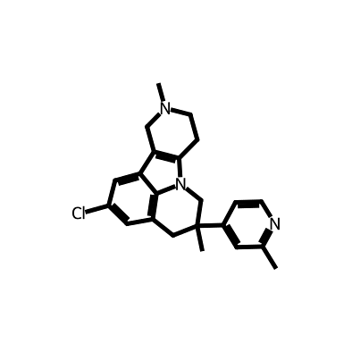 Cc1cc(C2(C)Cc3cc(Cl)cc4c5c(n(c34)C2)CCN(C)C5)ccn1